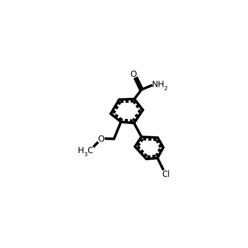 COCc1ccc(C(N)=O)cc1-c1ccc(Cl)cc1